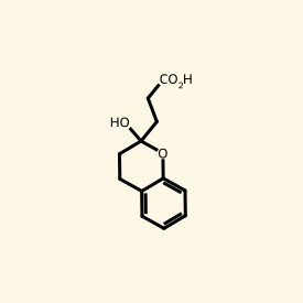 O=C(O)CCC1(O)CCc2ccccc2O1